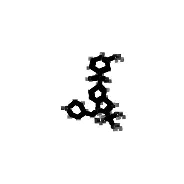 Cc1cc(S(=O)(=O)c2ccc3c(c2)nc(C(C)(C)C)n3CC2CCOCC2)ccn1